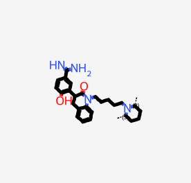 C[C@@H]1CCC[C@H](C)N1CCCCCN1C(=O)C(c2cc(C(=N)N)ccc2O)Cc2ccccc21